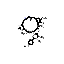 COc1cc2cc(c1Cl)N(C)C(=O)C[C@H](OC(=O)[C@H](C)N(C)C(=O)c1ccc(N)cc1)[C@@H]1O[C@H]1[C@H](C)[C@@H]1CC(C/C=C/C=C(\C)C2)NC(=O)O1